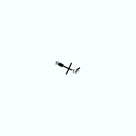 C[Te+]C(C)(C)C#N